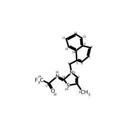 Cc1cn(Cc2cccc3ccccc23)c(=NC(=O)C(F)(F)F)s1